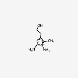 Cc1c(CCO)sc(N)[n+]1N